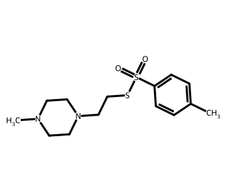 Cc1ccc(S(=O)(=O)SCCN2CCN(C)CC2)cc1